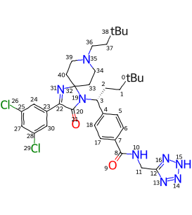 CC(C)(C)CC[C@H](c1ccc(C(=O)NCc2nn[nH]n2)cc1)N1C(=O)C(c2cc(Cl)cc(Cl)c2)=NC12CCN(CCC(C)(C)C)CC2